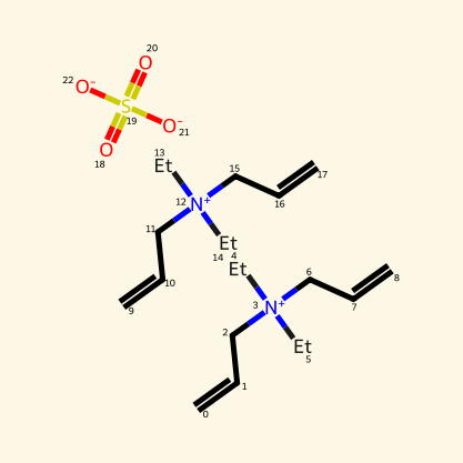 C=CC[N+](CC)(CC)CC=C.C=CC[N+](CC)(CC)CC=C.O=S(=O)([O-])[O-]